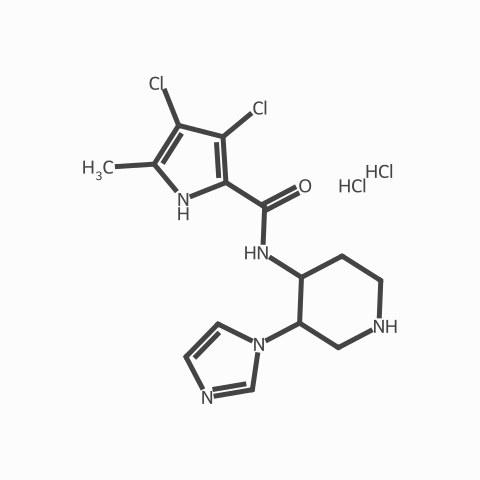 Cc1[nH]c(C(=O)NC2CCNCC2n2ccnc2)c(Cl)c1Cl.Cl.Cl